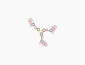 Ic1cc(COc2ccc([SH]3c4ccc(OCc5cc(I)c(OC6CCCCO6)c(I)c5)cc4-c4cc(OCc5cc(I)c(OC6CCCCO6)c(I)c5)ccc43)cc2)cc(I)c1OC1CCCCO1